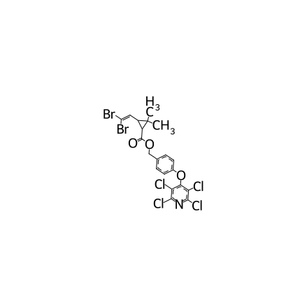 CC1(C)C(C=C(Br)Br)C1C(=O)OCc1ccc(Oc2c(Cl)c(Cl)nc(Cl)c2Cl)cc1